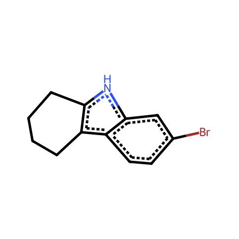 Brc1ccc2c3c([nH]c2c1)CCCC3